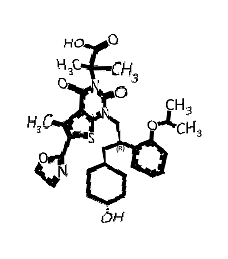 Cc1c(-c2ncco2)sc2c1c(=O)n(C(C)(C)C(=O)O)c(=O)n2C[C@H](C[C@H]1CC[C@H](O)CC1)c1ccccc1OC(C)C